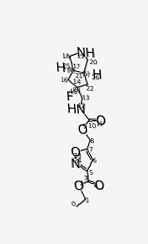 CCOC(=O)c1cc(COC(=O)NC[C@@]2(F)C[C@H]3CNC[C@H]3C2)on1